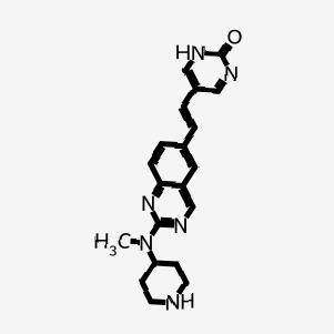 CN(c1ncc2cc(/C=C/c3cnc(=O)[nH]c3)ccc2n1)C1CCNCC1